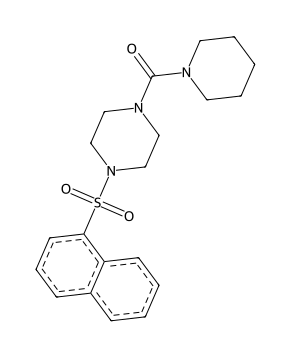 O=C(N1CCCCC1)N1CCN(S(=O)(=O)c2cccc3ccccc23)CC1